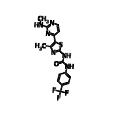 CNc1nccc(-c2sc(NC(=O)Nc3ccc(C(F)(F)F)cc3)nc2C)n1